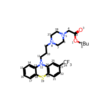 CC(C)(C)OC(=O)CN1CCN(CCCN2c3ccccc3Sc3ccc(C(F)(F)F)cc32)CC1